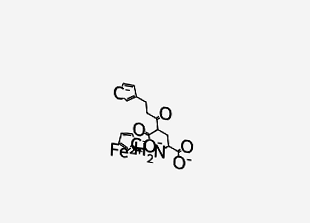 N[C@@H](CC(C(=O)[O-])C(=O)CCc1cc[cH-]c1)C(=O)[O-].[Fe+2].c1cc[cH-]c1